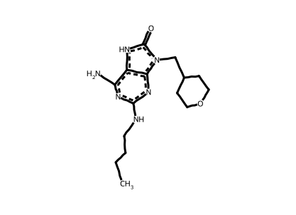 CCCCNc1nc(N)c2[nH]c(=O)n(CC3CCOCC3)c2n1